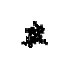 CCNC(=O)c1cn2c(N)nc(-c3cccc(C#N)c3)c(-c3cn[nH]c3C)c2n1